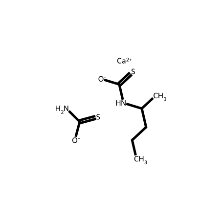 CCCC(C)NC([O-])=S.NC([O-])=S.[Ca+2]